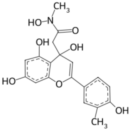 Cc1cc(C2=CC(O)(CC(=O)N(C)O)c3c(O)cc(O)cc3O2)ccc1O